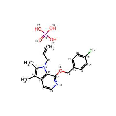 C=CCn1c(C)c(C)c2ccnc(OCc3ccc(F)cc3)c21.O=P(O)(O)O